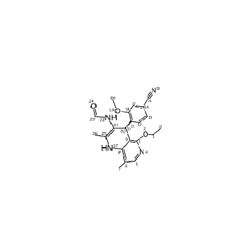 CCOc1ncc(C)c2c1[C@H](c1ccc(C#N)cc1OC)C(NC=O)=C(C)N2